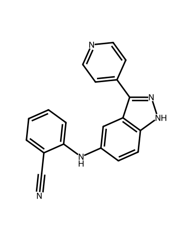 N#Cc1ccccc1Nc1ccc2[nH]nc(-c3ccncc3)c2c1